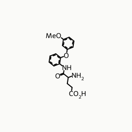 COc1cccc(Oc2ccccc2NC(=O)C(N)CCC(=O)O)c1